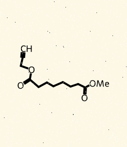 C#CCOC(=O)CCCCCCC(=O)OC